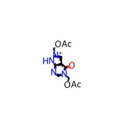 CC(=O)OCn1cnc2[nH][n+](COC(C)=O)cc2c1=O